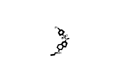 C=CCNC1CCc2cc(N(C)S(=O)(=O)c3ccc(C(C)C)cc3)ccc2C1